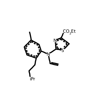 C=CN(c1nc(C(=O)OCC)cs1)c1cc(C)ccc1CCC(C)C